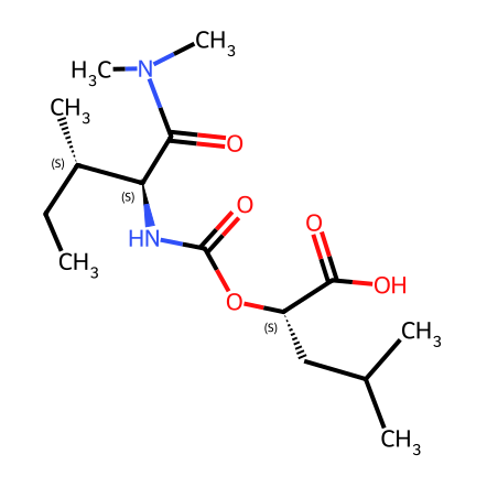 CC[C@H](C)[C@H](NC(=O)O[C@@H](CC(C)C)C(=O)O)C(=O)N(C)C